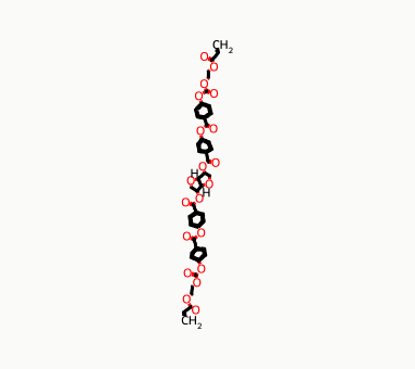 C=CC(=O)OCCOC(=O)Oc1ccc(C(=O)Oc2ccc(C(=O)OC3CO[C@H]4C(OC(=O)c5ccc(OC(=O)c6ccc(OC(=O)OCCOC(=O)C=C)cc6)cc5)CO[C@@H]34)cc2)cc1